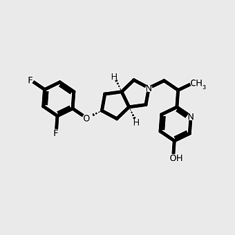 CC(CN1C[C@H]2C[C@H](Oc3ccc(F)cc3F)C[C@H]2C1)c1ccc(O)cn1